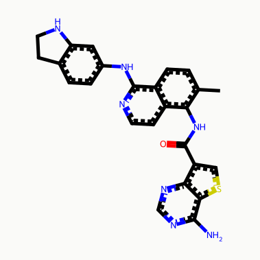 Cc1ccc2c(Nc3ccc4c(c3)NCC4)nccc2c1NC(=O)c1csc2c(N)ncnc12